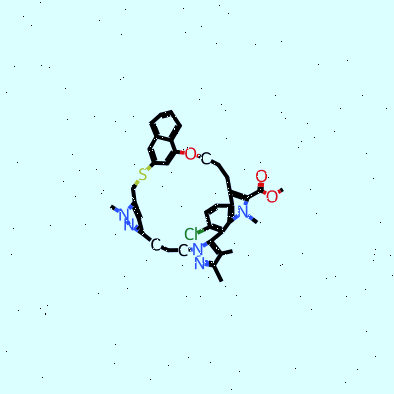 COC(=O)c1c2c3ccc(Cl)c(c3n1C)-c1c(C)c(C)nn1CCCc1cc(n(C)n1)CSc1cc(c3ccccc3c1)OCCC2